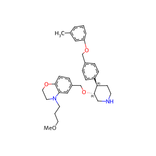 COCCCN1CCOc2ccc(CO[C@H]3CNCC[C@@H]3c3ccc(COc4cccc(C)c4)cc3)cc21